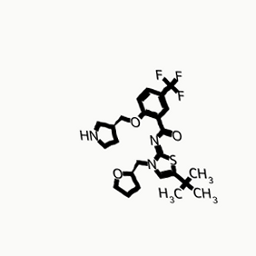 CC(C)(C)c1cn(C[C@H]2CCCO2)/c(=N/C(=O)c2cc(C(F)(F)F)ccc2OC[C@H]2CCNC2)s1